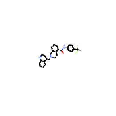 CC(F)(F)c1ccc(NC(=O)c2cccc3c2CCN(Cc2ccnc4ccccc24)C3)cc1